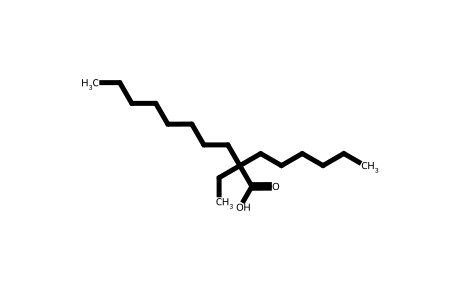 CCCCCCCCC(CC)(CCCCCC)C(=O)O